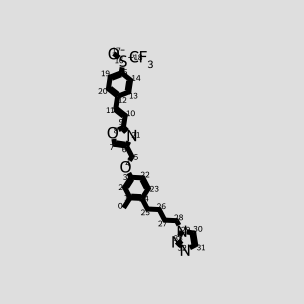 Cc1cc(OCc2coc(/C=C/c3ccc([S+]([O-])C(F)(F)F)cc3)n2)ccc1CCCCn1ccnn1